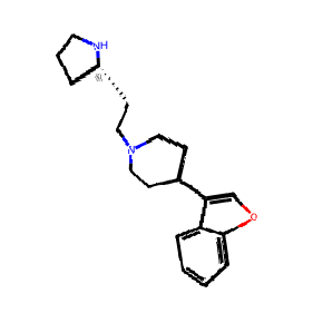 c1ccc2c(C3CCN(CC[C@@H]4CCCN4)CC3)coc2c1